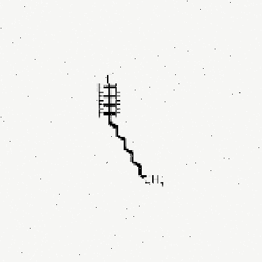 CCCCCCCCC=CC(F)(F)C(F)(F)C(F)(F)C(F)(F)F